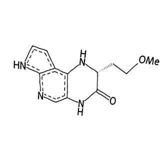 COCC[C@H]1Nc2c(cnc3[nH]ccc23)NC1=O